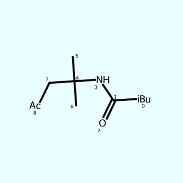 CCC(C)C(=O)NC(C)(C)CC(C)=O